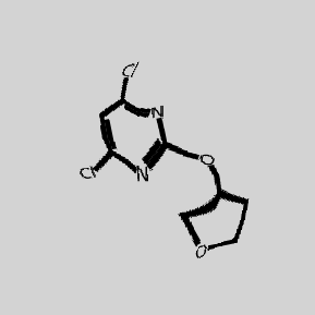 Clc1cc(Cl)nc(OC2CCOC2)n1